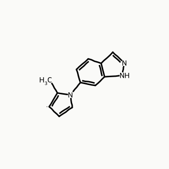 Cc1[c]ccn1-c1ccc2cn[nH]c2c1